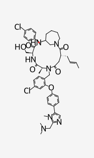 C/C=C/C[C@@H]1CC(=O)N(Cc2ccc(Cl)cc2Oc2ccc(-c3cnc(CN(C)C)n3C)cc2)[C@@H](C)C(=O)N[C@@H](CO)C(=O)N[C@@]2(Cc3ccc(Cl)cc3)CCCCN(C2)C1=O